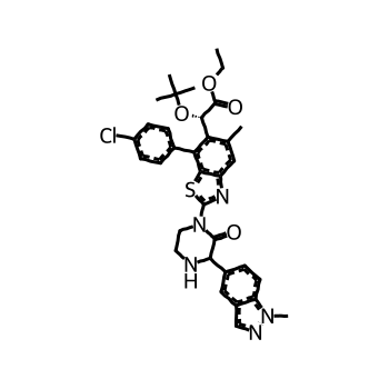 CCOC(=O)[C@@H](OC(C)(C)C)c1c(C)cc2nc(N3CCNC(c4ccc5c(cnn5C)c4)C3=O)sc2c1-c1ccc(Cl)cc1